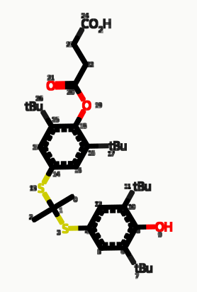 CC(C)(Sc1cc(C(C)(C)C)c(O)c(C(C)(C)C)c1)Sc1cc(C(C)(C)C)c(OC(=O)CCC(=O)O)c(C(C)(C)C)c1